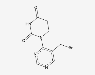 O=C1CCN(c2ncncc2CBr)C(=O)N1